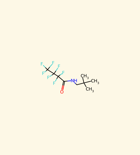 CC(C)(C)CNC(=O)C(F)(F)C(F)(F)C(F)(F)F